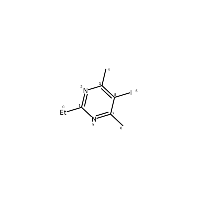 CCc1nc(C)c(I)c(C)n1